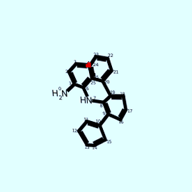 Nc1cccnc1Nc1c(-c2ccccc2)cccc1-c1ccccc1